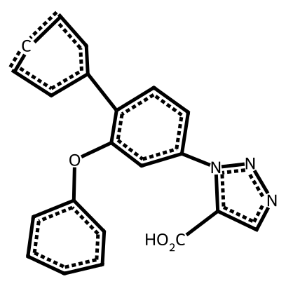 O=C(O)c1cnnn1-c1ccc(-c2ccccc2)c(Oc2ccccc2)c1